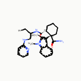 CC(C)CC(CNc1ccccn1)NC(=O)[C@@H]1CCCC[C@@]1(C(N)=O)c1c(C(=O)O)n(C)c2ccccc12